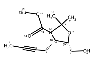 CC#CC[C@H]1[C@@H](CO)OC(C)(C)N1C(=O)OC(C)(C)C